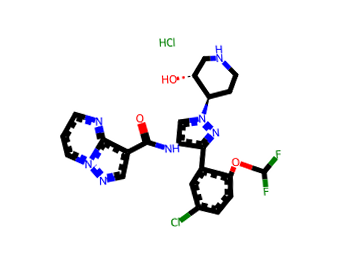 Cl.O=C(Nc1cn([C@@H]2CCNC[C@H]2O)nc1-c1cc(Cl)ccc1OC(F)F)c1cnn2cccnc12